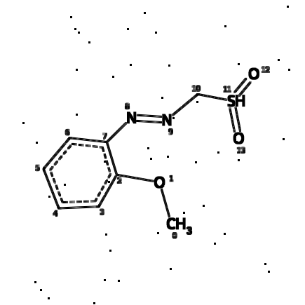 COc1ccccc1N=NC[SH](=O)=O